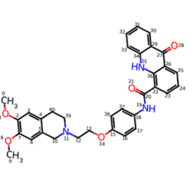 COc1cc2c(cc1OC)CN(CCOc1ccc(NC(=O)c3cccc4c(=O)c5ccccc5[nH]c34)cc1)CC2